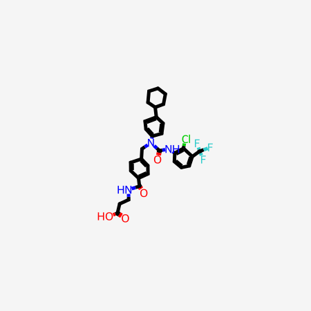 O=C(O)CCNC(=O)c1ccc(CN(C(=O)Nc2cccc(C(F)(F)F)c2Cl)c2ccc(C3CCCCC3)cc2)cc1